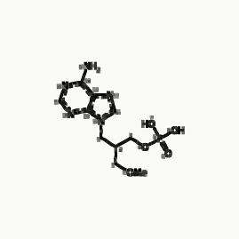 COCC(COP(=O)(O)O)Cn1cnc2c(N)ncnc21